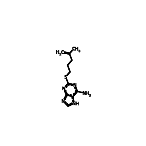 C=C(C)CCCSc1nc(N)c2[nH]cnc2n1